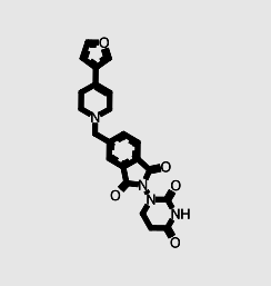 O=C1CCN(N2C(=O)c3ccc(CN4CC=C(c5ccoc5)CC4)cc3C2=O)C(=O)N1